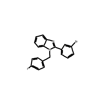 Fc1ccc(Cn2c(-c3cccc(Br)c3)nc3ccccc32)cc1